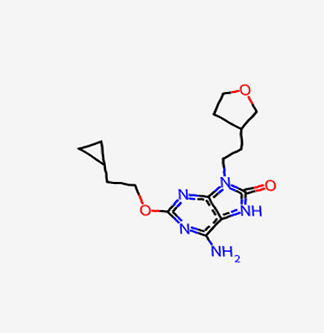 Nc1nc(OCCC2CC2)nc2c1[nH]c(=O)n2CCC1CCOC1